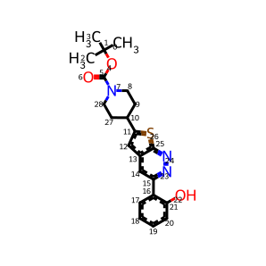 CC(C)(C)OC(=O)N1CCC(c2cc3cc(-c4ccccc4O)nnc3s2)CC1